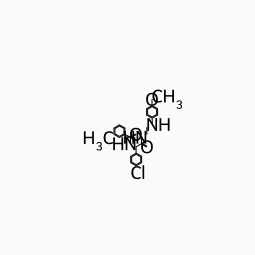 COc1ccc(NCCNC(=O)C(NC(=O)c2cccc(C)c2)c2ccc(Cl)cc2)cc1